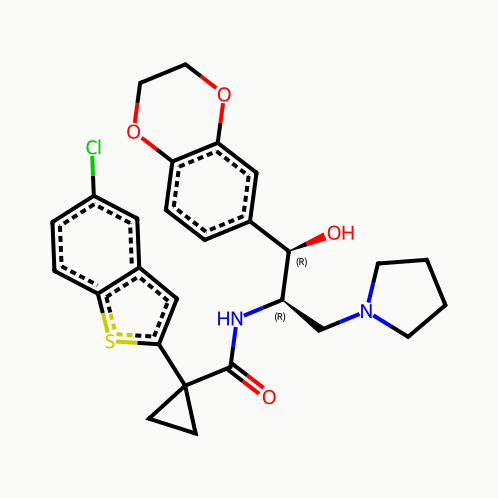 O=C(N[C@H](CN1CCCC1)[C@H](O)c1ccc2c(c1)OCCO2)C1(c2cc3cc(Cl)ccc3s2)CC1